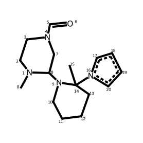 CN1CCN(C=O)CC1N1CCCCC1(C)n1cccc1